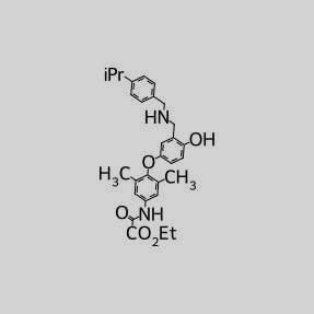 CCOC(=O)C(=O)Nc1cc(C)c(Oc2ccc(O)c(CNCc3ccc(C(C)C)cc3)c2)c(C)c1